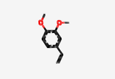 [CH]=Cc1ccc(OC)c(OC)c1